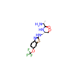 C[C@@H](N)C(=O)N[C@H](C=O)CNc1nc2ccc(OC(F)(F)F)cc2s1